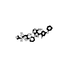 CC(C)(/C=C(/C#N)C(=O)N1CCC[C@@H](n2nc(-c3ccc(Oc4ccccc4)cc3F)c3c(N)ncnc32)C1)NC1COC1